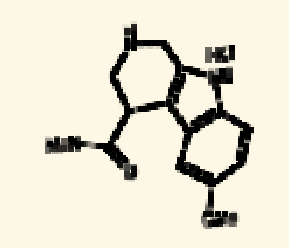 CNC(=O)C1CNCc2[nH]c3ccc(OC)cc3c21.Cl